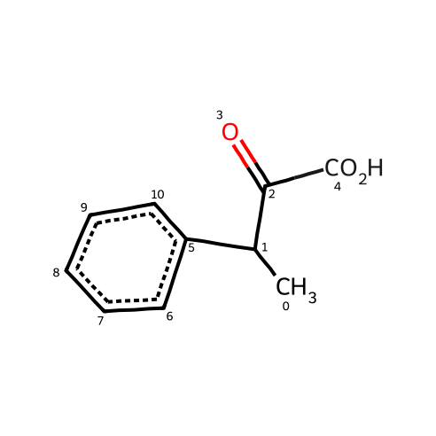 CC(C(=O)C(=O)O)c1ccccc1